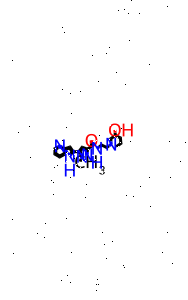 Cn1nc(C(=O)NCCN2CCCC(O)C2)cc1-c1cc2ncccc2[nH]1